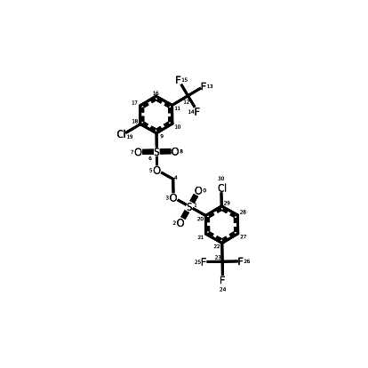 O=S(=O)(OCOS(=O)(=O)c1cc(C(F)(F)F)ccc1Cl)c1cc(C(F)(F)F)ccc1Cl